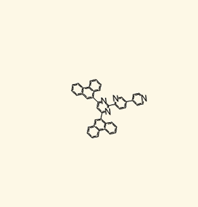 c1ccc2c(c1)cc(-c1cc(-c3cc4ccccc4c4ccccc34)nc(-c3ccc(-c4ccncc4)cn3)n1)c1ccccc12